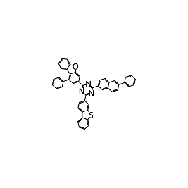 c1ccc(-c2ccc3cc(-c4nc(-c5cc(-c6ccccc6)c6c(c5)oc5ccccc56)nc(-c5ccc6c(c5)sc5ccccc56)n4)ccc3c2)cc1